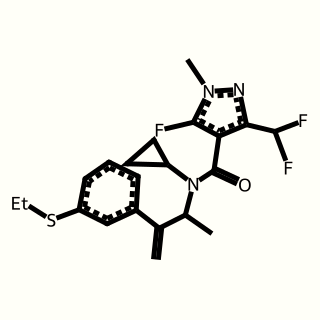 C=C(c1cccc(SCC)c1)C(C)N(C(=O)c1c(C(F)F)nn(C)c1F)C1CC1